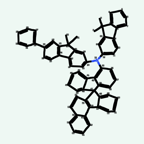 CC1(C)c2ccccc2-c2ccc(N(c3ccc4c(c3)C(C)(C)c3cc(-c5ccccc5)ccc3-4)c3cccc4c3-c3ccccc3C43c4ccccc4-c4c3ccc3ccccc43)cc21